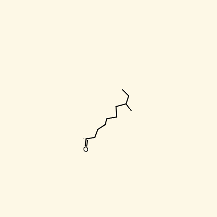 CCC(C)CCCCCC[C]=O